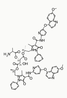 COc1ccc2c(Oc3ccc(NC(=O)c4c(C)n(C[C@@H](C)OC(=O)[C@@H](O)[C@H](OC(=O)C(C)N)C(=O)O[C@H](C)Cn5c(C)c(C(=O)Nc6ccc(Oc7ccnc8cc(OC)ccc78)cn6)c(=O)n5-c5ccccc5)n(-c5ccccc5)c4=O)nc3)ccnc2c1